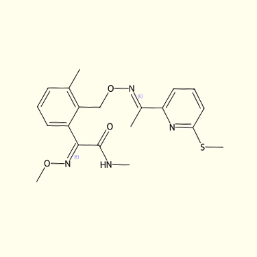 CNC(=O)/C(=N/OC)c1cccc(C)c1CO/N=C(\C)c1cccc(SC)n1